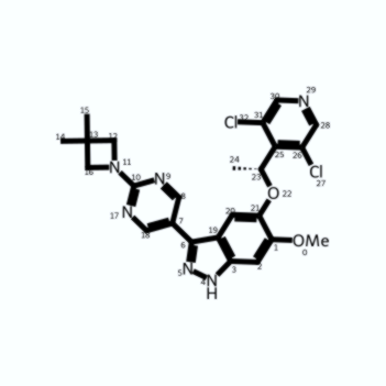 COc1cc2[nH]nc(-c3cnc(N4CC(C)(C)C4)nc3)c2cc1O[C@H](C)c1c(Cl)cncc1Cl